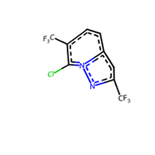 FC(F)(F)c1cc2ccc(C(F)(F)F)c(Cl)n2n1